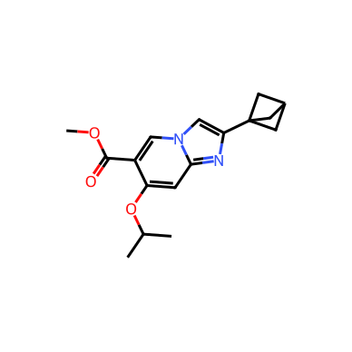 COC(=O)c1cn2cc(C34CC(C3)C4)nc2cc1OC(C)C